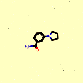 NC(=O)c1cccc(N2CCCC2)c1